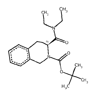 CCN(CC)C(=O)[C@@H]1Cc2ccccc2CN1C(=O)OC(C)(C)C